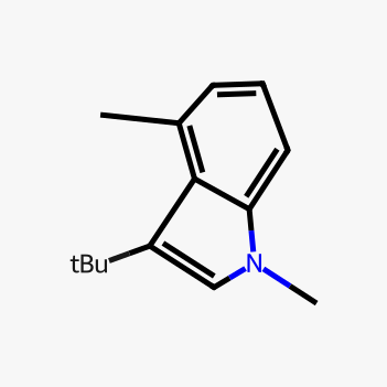 Cc1cccc2c1c(C(C)(C)C)cn2C